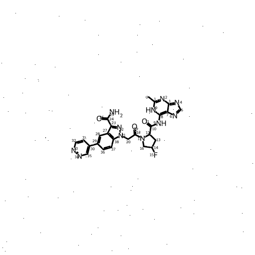 Cc1nc2ncnc-2c(NC(=O)C2CC(F)CN2C(=O)Cn2nc(C(N)=O)c3cc(-c4ccnnc4)ccc32)[nH]1